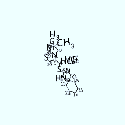 CC1(C)CN2C(CSC3=NCC4(CCCCC4)N3)=CSC2=N1.Cl.Cl